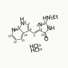 CCNC1=NC(=Cc2c[nH]c3ncccc23)C(=O)N1.Cl.Cl